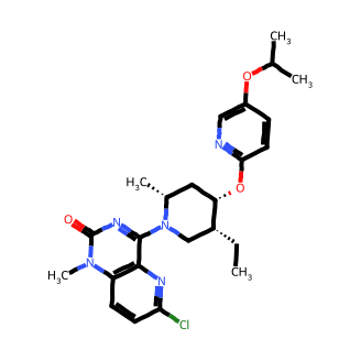 CC[C@@H]1CN(c2nc(=O)n(C)c3ccc(Cl)nc23)[C@H](C)C[C@@H]1Oc1ccc(OC(C)C)cn1